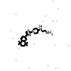 CC1(C)CCC(C)(C)c2cc(-c3csc(N4CCC(NCCN)CC4)n3)ccc21